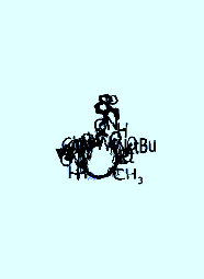 CC[C@@H]1C[C@H](C)CC/C=C\[C@@H]2C[C@@]2(C(=O)NS(=O)(=O)C2(C)CC2)NC(=O)[C@@H]2C[C@@H](Oc3nccc4c5c(ccc34)CCO5)CN2C(=O)[C@H]1NC(=O)OC(C)(C)C